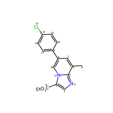 CCOC(=O)c1cnc2c(C)cc(-c3ccc(Cl)cc3)cn12